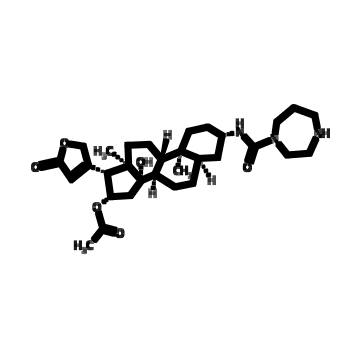 CC(=O)O[C@H]1C[C@]2(O)[C@@H]3CC[C@@H]4C[C@@H](NC(=O)N5CCCNCC5)CC[C@]4(C)[C@H]3CC[C@]2(C)[C@H]1C1=CC(=O)OC1